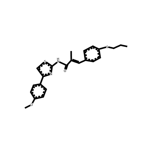 CCCSc1ccc(/C=C(\C)C(=O)Nc2nc(-c3ccc(OC)cc3)cs2)cc1